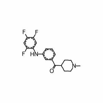 CN1CCC(C(=O)c2cccc(Nc3cc(F)c(F)cc3F)c2)CC1